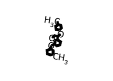 Cc1ccc(OC2COc3c(Oc4cccc(C)c4)cccc32)cc1